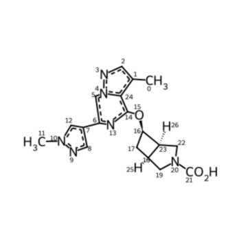 Cc1cnn2cc(-c3cnn(C)c3)nc(O[C@@H]3C[C@@H]4CN(C(=O)O)C[C@@H]43)c12